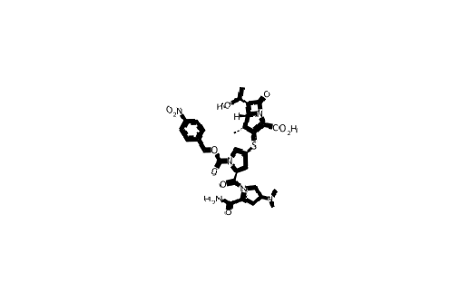 CC(O)[C@H]1C(=O)N2C(C(=O)O)=C(S[C@H]3C[C@@H](C(=O)N4CC(N(C)C)CC4C(N)=O)N(C(=O)OCc4ccc([N+](=O)[O-])cc4)C3)[C@H](C)[C@H]12